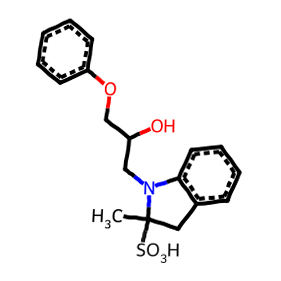 CC1(S(=O)(=O)O)Cc2ccccc2N1CC(O)COc1ccccc1